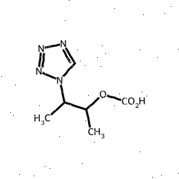 CC(OC(=O)O)C(C)n1cnnn1